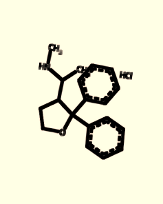 CNC(C)C1CCOC1(c1ccccc1)c1ccccc1.Cl